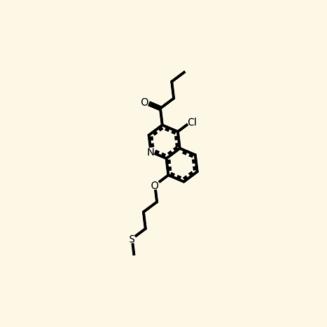 CCCC(=O)c1cnc2c(OCCCSC)cccc2c1Cl